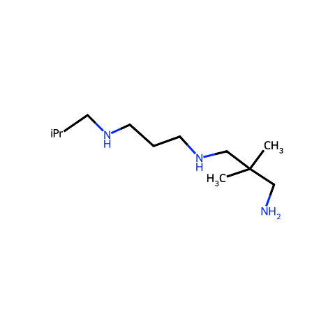 CC(C)CNCCCNCC(C)(C)CN